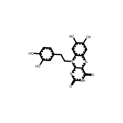 N#Cc1cc2nc3c(=O)[nH]c(=O)nc-3n(CCc3ccc(O)c(O)c3)c2cc1C#N